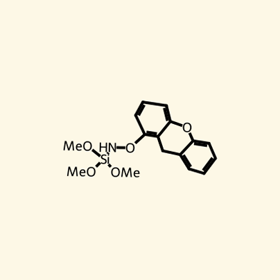 CO[Si](NOc1cccc2c1Cc1ccccc1O2)(OC)OC